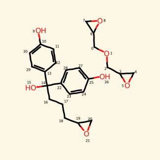 C(OCC1CO1)C1CO1.Oc1ccc(C(O)(CCCC2CO2)c2ccc(O)cc2)cc1